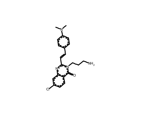 CN(C)c1ccc(C=Cc2nc3cc(Cl)ccc3c(=O)n2CCCN)cc1